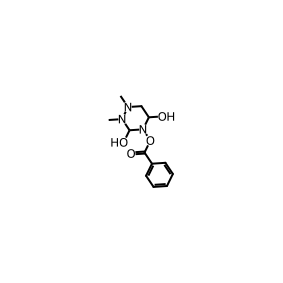 CN1CC(O)N(OC(=O)c2ccccc2)C(O)N1C